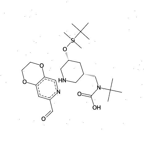 CC(C)(C)N(C[C@@H]1CNC[C@H](O[Si](C)(C)C(C)(C)C)C1)C(=O)O.O=Cc1cc2c(cn1)OCCO2